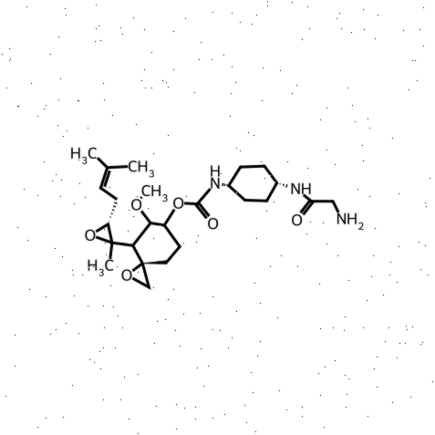 COC1C(OC(=O)N[C@H]2CC[C@@H](NC(=O)CN)CC2)CC[C@]2(CO2)C1C1(C)O[C@@H]1CC=C(C)C